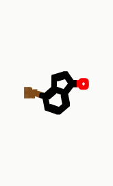 O=C1C=Cc2c(Br)cccc21